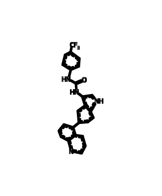 O=C(Nc1ccc(C(F)(F)F)cc1)Nc1c[nH]c2ccc(-c3cccc4ncccc34)cc12